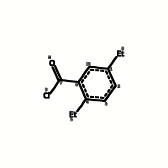 CCc1ccc(CC)c(C(=O)Cl)c1